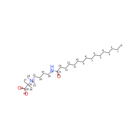 CCCCCCCCCCCCCCCC(=O)NCCCC[N+](C)(C)C(C)(C)C(=O)[O-]